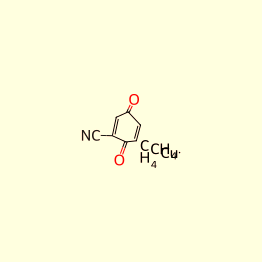 C.C.N#CC1=CC(=O)C=CC1=O.[Cu]